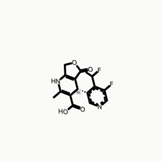 CC1=C(C(=O)O)[C@@H](c2cncc(F)c2C(C)F)C2=C(COC2=O)N1